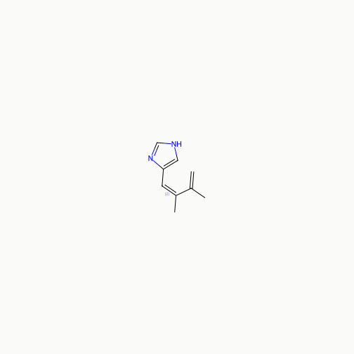 C=C(C)/C(C)=C\c1c[nH]cn1